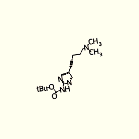 CN(C)CCCC#Cc1cnc(NC(=O)OC(C)(C)C)nc1